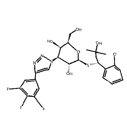 CC(C)(O)[C@@H](S[C@@H]1O[C@H](CO)[C@H](O)[C@H](n2cc(-c3cc(F)c(F)c(F)c3)nn2)[C@H]1O)c1ccccc1Cl